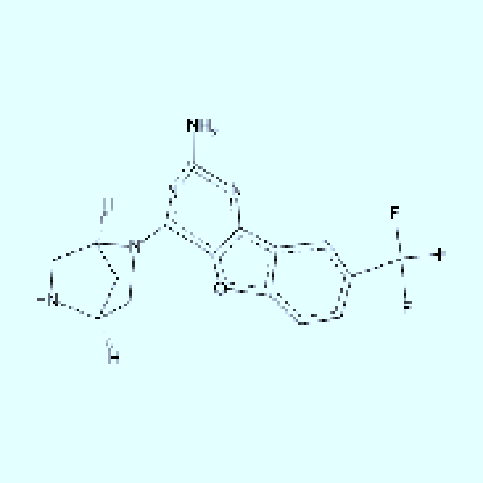 Nc1nc(N2C[C@@H]3C[C@H]2CN3)c2oc3ccc(C(F)(F)F)cc3c2n1